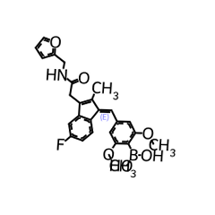 COc1cc(/C=C2/C(C)=C(CC(=O)NCc3ccco3)c3cc(F)ccc32)cc(OC)c1B(O)O